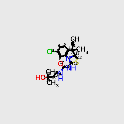 C#CC(C)(c1ccc(Cl)cc1)c1csc(NC(=O)NCCC(C)(C)O)n1